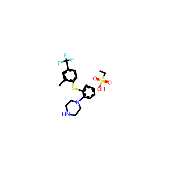 CCS(=O)(=O)O.Cc1cc(C(F)(F)F)ccc1Sc1ccccc1N1CCNCC1